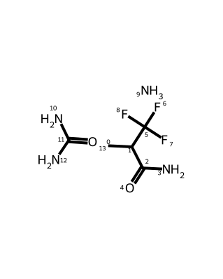 CC(C(N)=O)C(F)(F)F.N.NC(N)=O